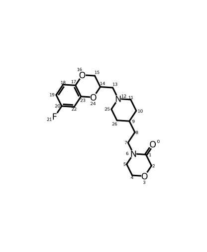 O=C1COCCN1CCC1CCN(CC2COc3ccc(F)cc3O2)CC1